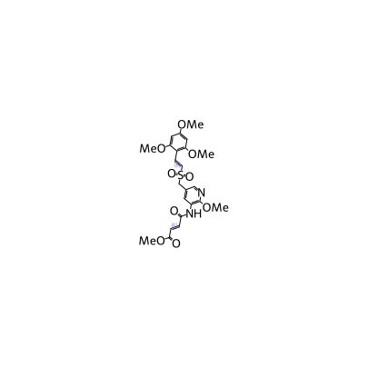 COC(=O)/C=C/C(=O)Nc1cc(CS(=O)(=O)/C=C/c2c(OC)cc(OC)cc2OC)cnc1OC